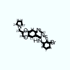 Fc1c(Br)cccc1Nc1ncnc2cc3c(cc12)OCC(CN1CCCC1)O3